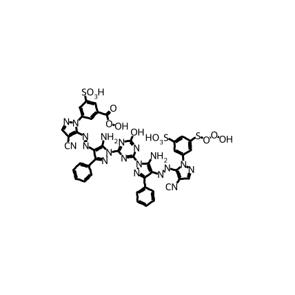 [C-]#[N+]c1cnn(-c2cc(SOOO)cc(S(=O)(=O)O)c2)c1N=Nc1c(-c2ccccc2)nn(-c2nc(O)nc(-n3nc(-c4ccccc4)c(N=Nc4c(C#N)cnn4-c4cc(C(=O)OO)cc(S(=O)(=O)O)c4)c3N)n2)c1N